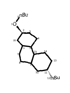 CCCCO[C@H]1CCC2C(CCC3C[C@@H](CCCC)CCC32)C1